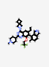 C=Cc1cc2c(N3CC4(CCC4)C3)nc(C3CCN(C)CC3)nc2c(OCC(F)(F)F)c1-c1c(C)ccc2c1C=NC2